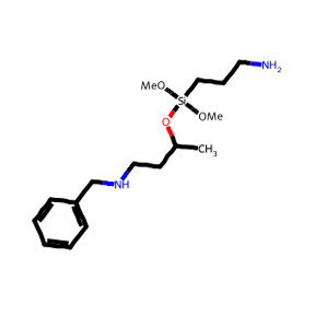 CO[Si](CCCN)(OC)OC(C)CCNCc1ccccc1